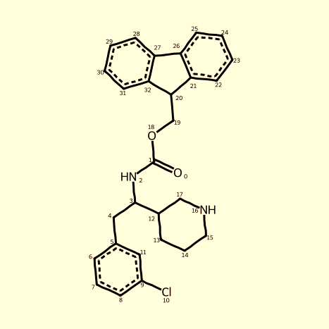 O=C(NC(Cc1cccc(Cl)c1)C1CCCNC1)OCC1c2ccccc2-c2ccccc21